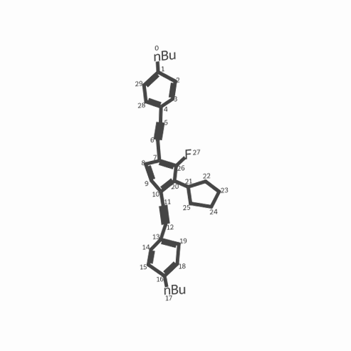 CCCCc1ccc(C#Cc2ccc(C#Cc3ccc(CCCC)cc3)c(C3CCCC3)c2F)cc1